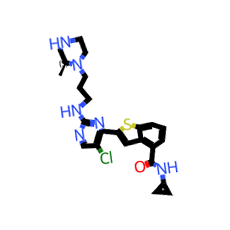 C[C@H]1CNCCN1CCCNc1ncc(Cl)c(-c2cc3c(C(=O)NC4CC4)cccc3s2)n1